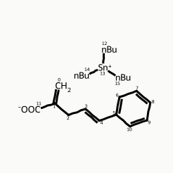 C=C(CC=Cc1ccccc1)C(=O)[O-].CCC[CH2][Sn+]([CH2]CCC)[CH2]CCC